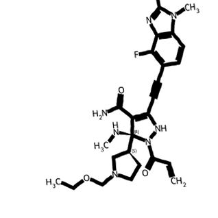 C=CC(=O)N1NC(C#Cc2ccc3c(nc(C)n3C)c2F)=C(C(N)=O)[C@@]1(NC)[C@H]1CCN(COCC)C1